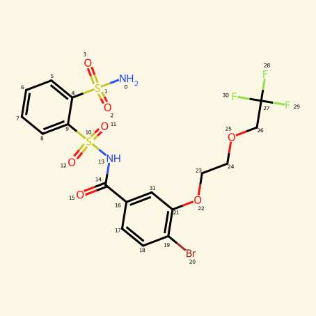 NS(=O)(=O)c1ccccc1S(=O)(=O)NC(=O)c1ccc(Br)c(OCCOCC(F)(F)F)c1